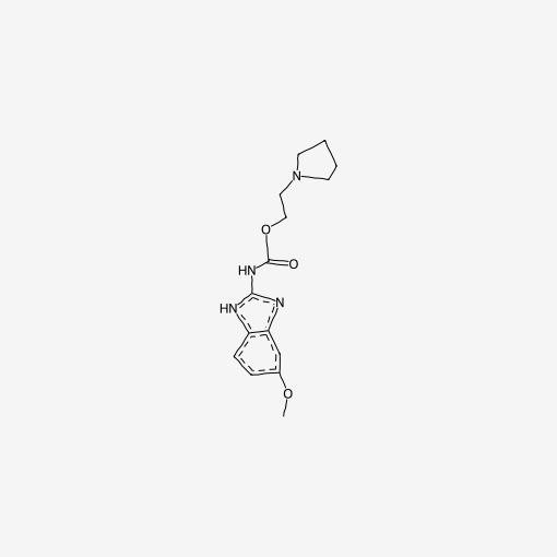 COc1ccc2[nH]c(NC(=O)OCCN3CCCC3)nc2c1